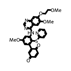 COCCOc1cc2ncnc(Nc3cc(OC)cc(C4=CC(=O)C=CC4=O)c3Sc3ccccn3)c2cc1OC